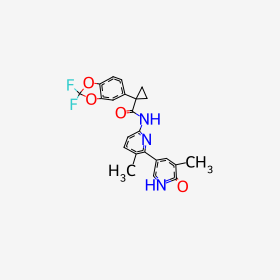 Cc1ccc(NC(=O)C2(c3ccc4c(c3)OC(F)(F)O4)CC2)nc1-c1c[nH]c(=O)c(C)c1